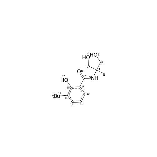 CC(CO)(CO)NC(=O)c1cccc(C(C)(C)C)c1O